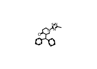 Cc1nsc(N2CCC(=O)C(C(c3ccccc3)c3ccccc3)C2)n1